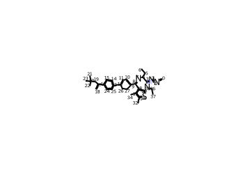 C=N/N=C1/C(CC)N=C(C2=CC=C(c3ccc(C(=C)CC(C)(C)C)cc3)CC2)c2c(sc(C)c2C)N1CC